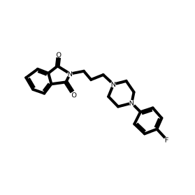 O=C1c2ccccc2C(=O)N1CCCN1CCN(c2ccc(F)cc2)CC1